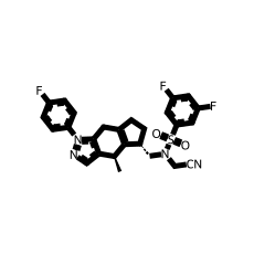 C[C@@H]1C2=C(CC[C@@H]2CN(CC#N)S(=O)(=O)c2cc(F)cc(F)c2)Cc2c1cnn2-c1ccc(F)cc1